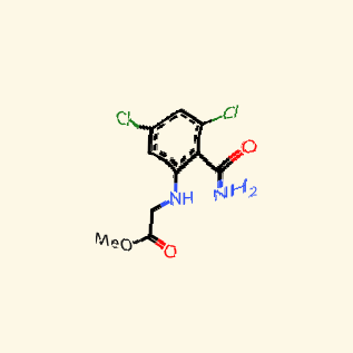 COC(=O)CNc1cc(Cl)cc(Cl)c1C(N)=O